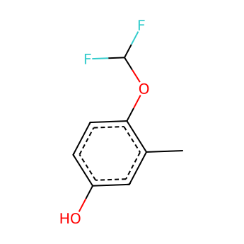 Cc1cc(O)ccc1OC(F)F